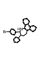 Brc1ccc(C2Nc3c(c4ccccc4c4ccccc34)CCC2c2ccccc2)cc1